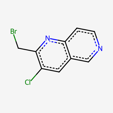 Clc1cc2cnccc2nc1CBr